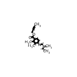 CC#CCOC(=O)c1ccc(/N=C/N(C)CC)c(C)c1C